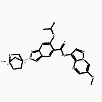 COc1cnc2c(NC(=O)c3cc4cn([C@]56CC[C@](C)(C5)OC6)nc4cc3OC(C)C)cnn2c1